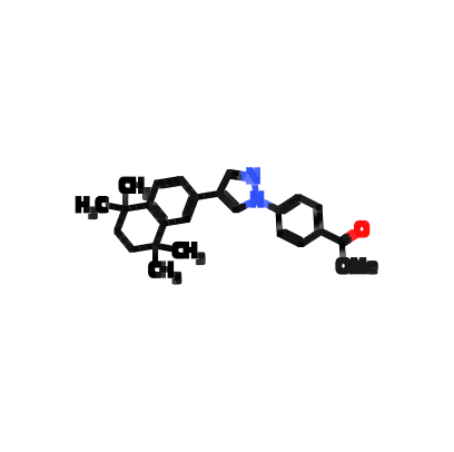 COC(=O)c1ccc(-n2cc(-c3ccc4c(c3)C(C)(C)CCC4(C)C)cn2)cc1